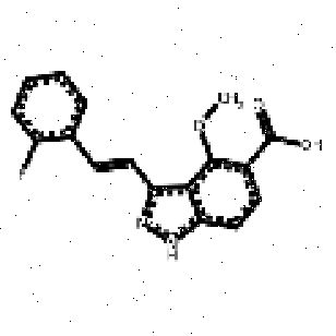 COc1c(C(=O)O)ccc2[nH]nc(C=Cc3ccccc3F)c12